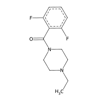 CCN1CCN(C(=O)c2c(F)cccc2F)CC1